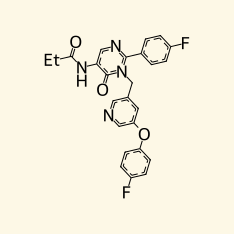 CCC(=O)Nc1cnc(-c2ccc(F)cc2)n(Cc2cncc(Oc3ccc(F)cc3)c2)c1=O